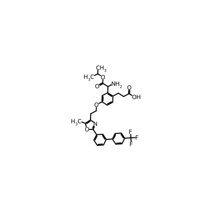 Cc1oc(-c2cccc(-c3ccc(C(F)(F)F)cc3)c2)nc1CCOc1ccc(CCC(=O)O)c(C(N)C(=O)OC(C)C)c1